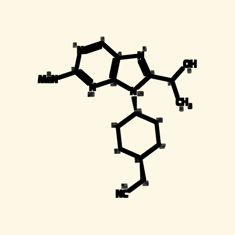 CNc1ncc2nc(C(C)O)n([C@H]3CC[C@H](CC#N)CC3)c2n1